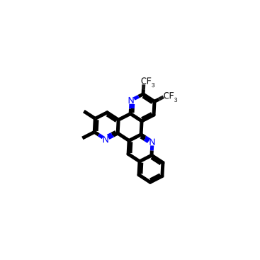 Cc1cc2c(nc1C)c1cc3ccccc3nc1c1cc(C(F)(F)F)c(C(F)(F)F)nc21